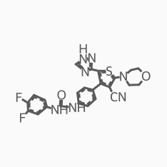 N#Cc1c(N2CCOCC2)sc(-c2nc[nH]n2)c1-c1ccc(NC(=O)Nc2ccc(F)c(F)c2)cc1